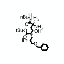 CCCCNC(=O)C(C)(N)C[C@@H](O)[C@H](C[C@H](COCc1ccccc1)C(C)C)C(=O)OC(C)(C)C